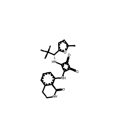 Cc1ccc([C@H](Nc2c(Nc3cccc4c3C(=O)NCC4)c(=O)c2=O)C(C)(C)C)o1